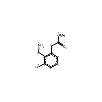 COC(=O)Cc1cccc(C(C)C)c1CN